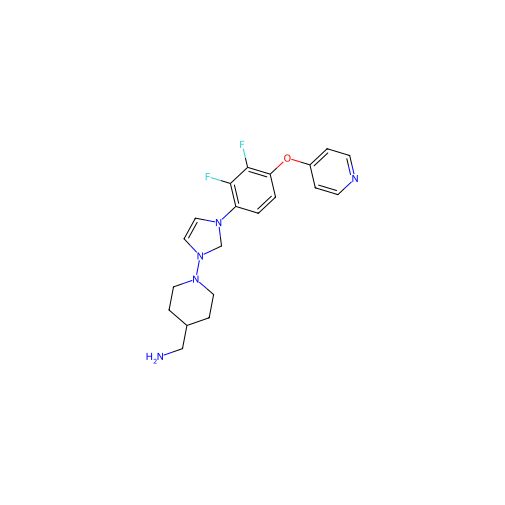 NCC1CCN(N2C=CN(c3ccc(Oc4ccncc4)c(F)c3F)C2)CC1